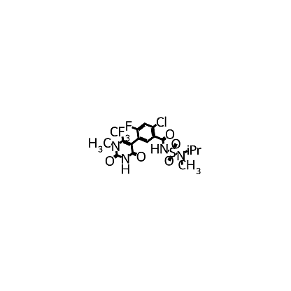 CC(C)N(C)S(=O)(=O)NC(=O)c1cc(-c2c(C(F)(F)F)n(C)c(=O)[nH]c2=O)c(F)cc1Cl